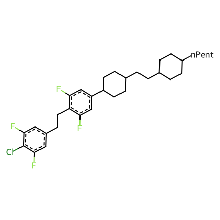 CCCCCC1CCC(CCC2CCC(c3cc(F)c(CCc4cc(F)c(Cl)c(F)c4)c(F)c3)CC2)CC1